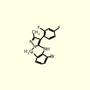 Cc1nn(C)c(Nc2c(F)cccc2Br)c1-c1ccc(F)cc1F